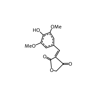 COc1cc(C=C2C(=O)COC2=O)cc(OC)c1O